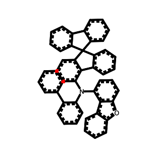 c1ccc(-c2ccccc2N(c2cccc3c2-c2ccccc2C32c3ccccc3-c3ccccc32)c2cccc3oc4ccccc4c23)cc1